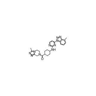 Cc1cccc2c1nnn2-c1ccnc(NC2CCC(C(=O)N3CCn4c(C)nnc4C3)CC2)n1